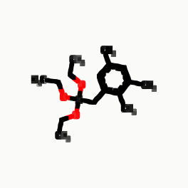 CCO[Si](Cc1cc(C)cc(C)c1C)(OCC)OCC